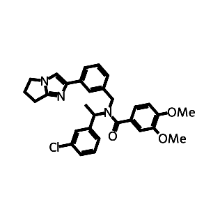 COc1ccc(C(=O)N(Cc2cccc(-c3cn4c(n3)CCC4)c2)C(C)c2cccc(Cl)c2)cc1OC